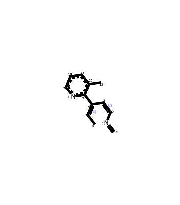 C=N/C=C\C(=C/C)c1ncccc1C